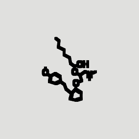 CCCCCCCC(O)OC(COc1ccccc1CCc1ccc(OC)cc1)CN(C)C